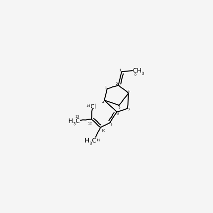 CC=C1CC2CC1CC2=CC(C)=C(C)Cl